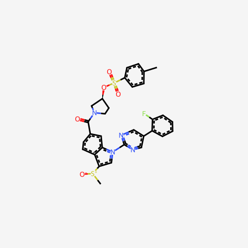 Cc1ccc(S(=O)(=O)O[C@H]2CCN(C(=O)c3ccc4c([S+](C)[O-])cn(-c5ncc(-c6ccccc6F)cn5)c4c3)C2)cc1